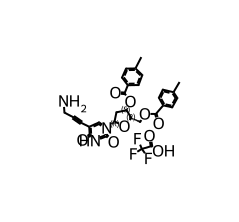 Cc1ccc(C(=O)OC[C@H]2O[C@@H](n3cc(C#CCN)c(=O)[nH]c3=O)C[C@@H]2OC(=O)c2ccc(C)cc2)cc1.O=C(O)C(F)(F)F